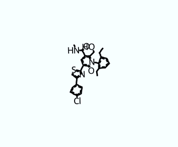 CCc1cccc(CC)c1-n1c(CO)c(C(=O)NC)cc(-c2nc(-c3ccc(Cl)cc3)cs2)c1=O